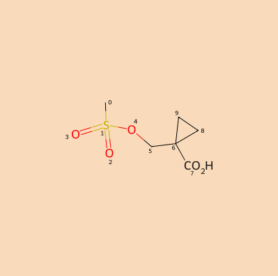 CS(=O)(=O)OCC1(C(=O)O)CC1